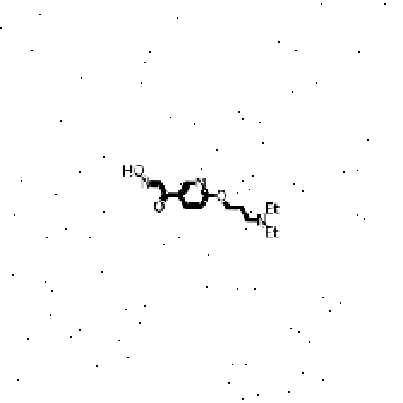 CCN(CC)CCCOc1ccc(C(=O)C=NO)cn1